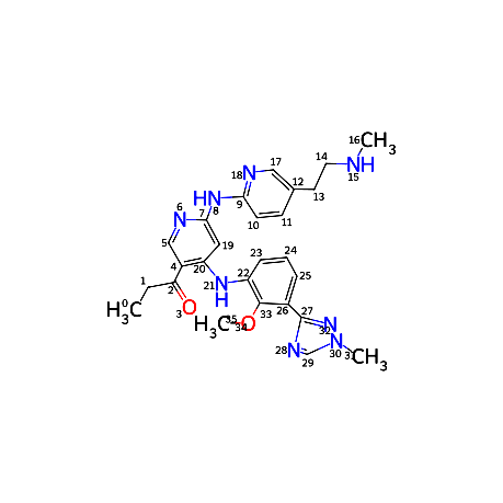 CCC(=O)c1cnc(Nc2ccc(CCNC)cn2)cc1Nc1cccc(-c2ncn(C)n2)c1OC